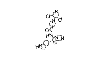 O=C(CNc1c(-c2ccc3c(c2)CCN3)nc2cnccn12)N1CCN(c2c(Cl)cncc2Cl)CC1